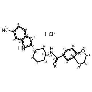 Cl.N#Cc1ccc2nc([C@H]3CCC[C@@H](NC(=O)c4ccc5c(c4)OCCO5)C3)[nH]c2c1